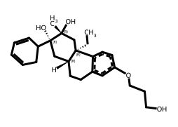 CC[C@@]12C[C@@](C)(O)[C@](O)(C3C=CC=CC3)C[C@H]1CCc1cc(OCCCO)ccc12